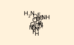 CC1(C)C[C@H](Nc2nc(Cl)ncc2F)C[C@@H]2CC(C3CNC[C@H](F)[C@H]3Oc3ccc(N)cc3C(F)(F)F)CN21